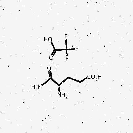 NC(=O)[C@H](N)CCC(=O)O.O=C(O)C(F)(F)F